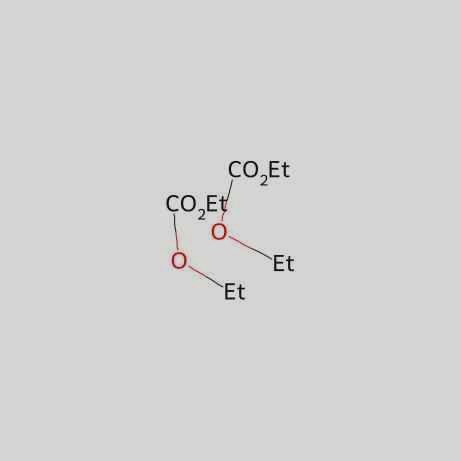 CCOC(=O)OCC.CCOC(=O)OCC